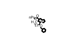 CCCOC(=O)c1cc2cccn2c(C(CC)OCc2ccccc2)c1C